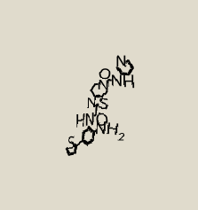 Nc1ccc(-c2cccs2)cc1NC(=O)c1nc2c(s1)CN(C(=O)Nc1cccnc1)CC2